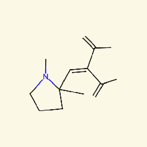 C=C(C)C(=CC1(C)CCCN1C)C(=C)C